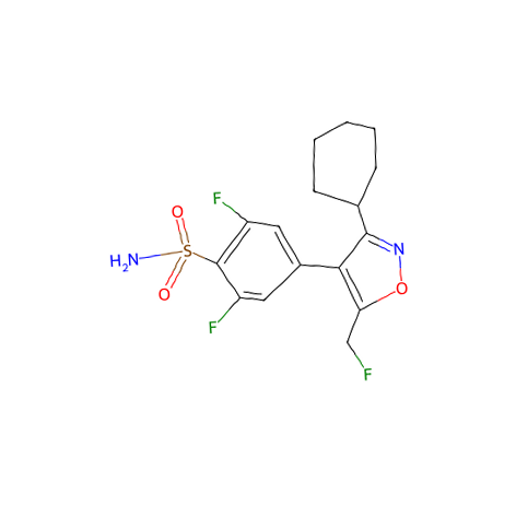 NS(=O)(=O)c1c(F)cc(-c2c(C3CCCCC3)noc2CF)cc1F